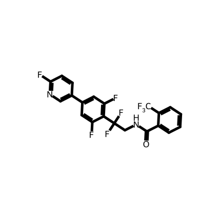 O=C(NCC(F)(F)c1c(F)cc(-c2ccc(F)nc2)cc1F)c1ccccc1C(F)(F)F